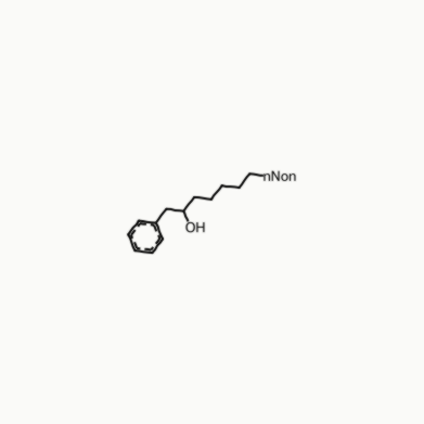 CCCCCCCCCCCCCCC(O)Cc1ccccc1